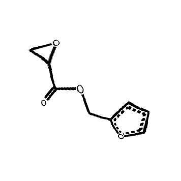 O=C(OCc1ccco1)C1CO1